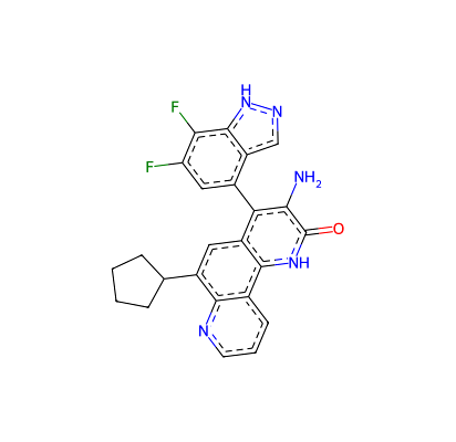 Nc1c(-c2cc(F)c(F)c3[nH]ncc23)c2cc(C3CCCC3)c3ncccc3c2[nH]c1=O